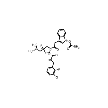 CN(C)C[C@@]1(F)C[C@@H](C(=O)NCc2cccc(Cl)c2F)N(C(=O)Cc2cn(OC(N)=O)c3ccccc23)C1